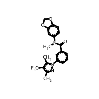 Cc1nn(-c2cccc(C(=O)N(C)c3ccc4c(c3)OCO4)c2)c(C)c1C(F)(F)F